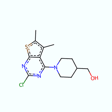 Cc1sc2nc(Cl)nc(N3CCC(CO)CC3)c2c1C